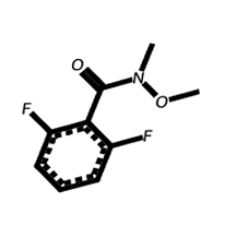 CON(C)C(=O)c1c(F)cccc1F